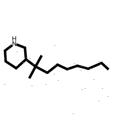 CCCCCCCC(C)(C)C1CCCNC1